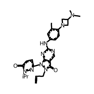 C=CCn1c(=O)c2cnc(Nc3ccc(N4CC(N(C)C)C4)c(C)c3)nc2n1-c1ccc(=O)n(C(C)C)n1